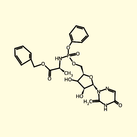 C=C1NC(=O)C=NN1[C@@H]1O[C@H](COP(=O)(N[C@@H](C)C(=O)OCc2ccccc2)Oc2ccccc2)C(O)[C@@H]1O